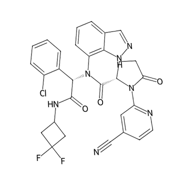 N#Cc1ccnc(N2C(=O)CC[C@H]2C(=O)N(c2cccc3cn[nH]c23)[C@H](C(=O)NC2CC(F)(F)C2)c2ccccc2Cl)c1